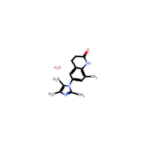 Cc1cc(-n2c(C)nc(C)c2[N+](=O)[O-])cc2c1NC(=O)CC2.O